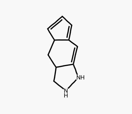 C1=CC2CC3CNNC3=CC2=C1